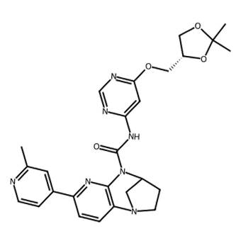 Cc1cc(-c2ccc3c(n2)N(C(=O)Nc2cc(OC[C@@H]4COC(C)(C)O4)ncn2)C2CCN3C2)ccn1